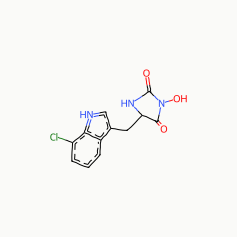 O=C1NC(Cc2c[nH]c3c(Cl)cccc23)C(=O)N1O